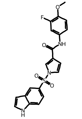 COc1ccc(NC(=O)c2ccn(S(=O)(=O)c3ccc4[nH]ccc4c3)c2)cc1F